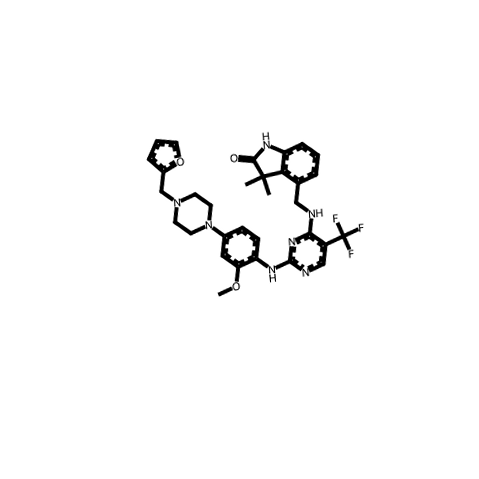 COc1cc(N2CCN(Cc3ccco3)CC2)ccc1Nc1ncc(C(F)(F)F)c(NCc2cccc3c2C(C)(C)C(=O)N3)n1